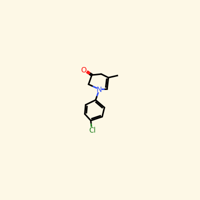 CC1=CN(c2ccc(Cl)cc2)CC(=O)C1